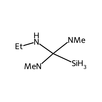 CCNC([SiH3])(NC)NC